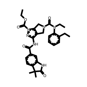 CCOC(=O)n1nc(NC(=O)c2ccc3c(c2)NC(=O)C3(C)C)c2c1CN(C(=O)N(CC)c1ccccc1CC)C2